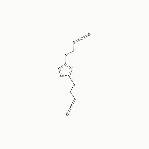 O=C=NCSc1ccc(SCN=C=O)s1